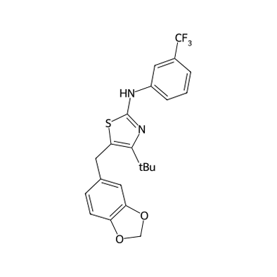 CC(C)(C)c1nc(Nc2cccc(C(F)(F)F)c2)sc1Cc1ccc2c(c1)OCO2